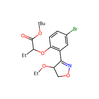 CCOC1CON=C1c1cc(Br)ccc1OC(CC)C(=O)OC(C)(C)C